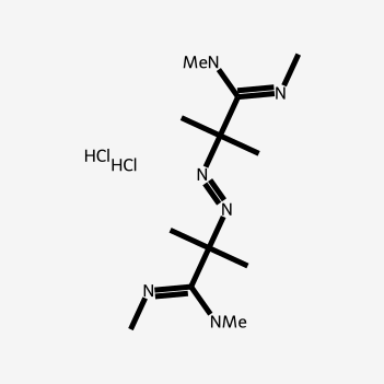 C/N=C(\NC)C(C)(C)/N=N/C(C)(C)/C(=N/C)NC.Cl.Cl